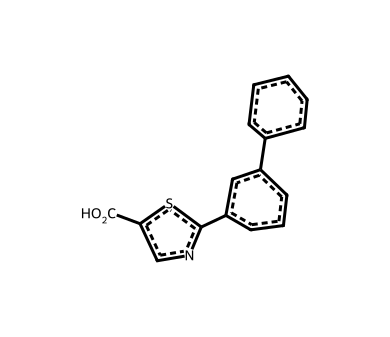 O=C(O)c1cnc(-c2cccc(-c3ccccc3)c2)s1